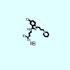 CCN(CC)CCCNc1nn(CCCN2CCCCC2)c2ccc(Cl)cc12.Cl.Cl